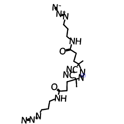 CC(C#N)(CCC(=O)NCCCN=[N+]=[N-])/N=N\C(C)(C#N)CCC(=O)NCCCN=[N+]=[N-]